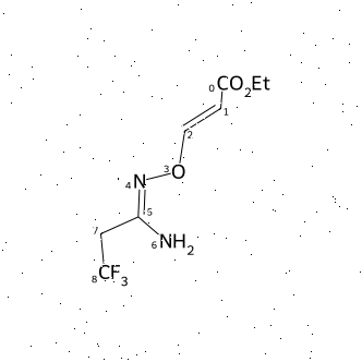 CCOC(=O)/C=C/O/N=C(\N)CC(F)(F)F